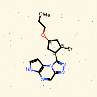 CC[C@@H]1C[C@H](OCCOC)C[C@@H]1c1nnc2cnc3[nH]ccc3n12